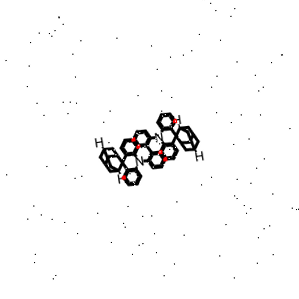 c1ccc(N2c3ccccc3C3(c4ccccc42)C2CC4C[C@H](C2)C[C@H]3C4)c(-c2ccccc2N2c3ccccc3C3(c4ccccc42)C2CC4C[C@H](C2)C[C@H]3C4)c1